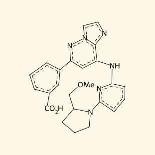 COCC1CCCN1c1cccc(Nc2cc(-c3cccc(C(=O)O)c3)nn3ccnc23)n1